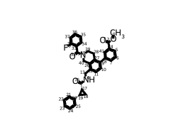 COC(=O)c1cccc(-c2ccc(CNC(=O)[C@@H]3C[C@@H]3c3ccccc3)c3c2CCN(C(=O)c2ccccc2F)C3)c1